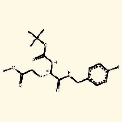 COC(=O)CC[C@H](NC(=O)OC(C)(C)C)C(=O)NCc1ccc(I)cc1